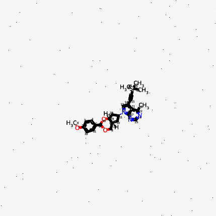 COc1ccc(C2OC[C@@H]3C[C@@H](n4cc(C#C[Si](C)(C)C)c5c(C)ncnc54)C[C@@H]3O2)cc1